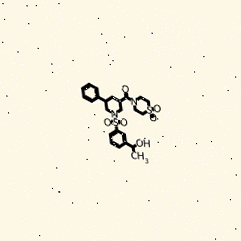 CC(O)c1cccc(S(=O)(=O)N2CC(C(=O)N3CCS(=O)(=O)CC3)CC(c3ccccc3)C2)c1